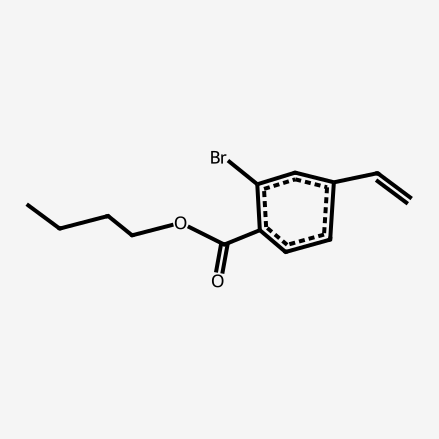 C=Cc1ccc(C(=O)OCCCC)c(Br)c1